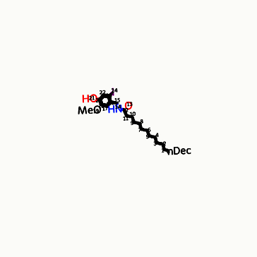 CCCCCCCCCCCCCCCCCCCCCC(=O)NCc1cc(OC)c(O)cc1I